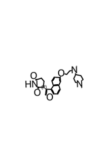 CN1CCC(N(C)CCOc2ccc3c(ccc4occ([C@H]5CCC(=O)NC5=O)c43)c2)CC1